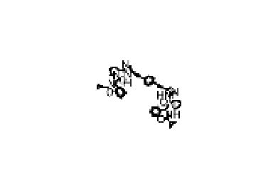 O=C(N[C@@H](C(=O)N1CCC[C@H]1c1ncc(C#Cc2ccc(C#Cc3cnc([C@@H]4CCCN4C(=O)[C@H](NC(=O)C4CC4)c4ccccc4)[nH]3)cc2)[nH]1)c1ccccc1)C1CC1